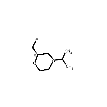 CC(C)N1CCO[C@@H](CF)C1